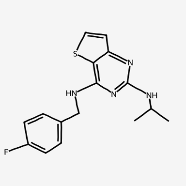 CC(C)Nc1nc(NCc2ccc(F)cc2)c2sccc2n1